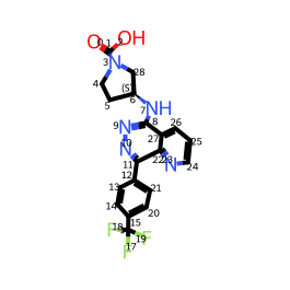 O=C(O)N1CC[C@H](Nc2nnc(-c3ccc(C(F)(F)F)cc3)c3ncccc23)C1